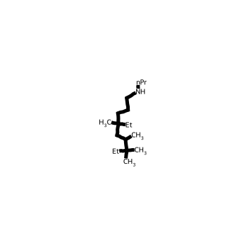 CCCNCCCC(C)(CC)CC(C)C(C)(C)CC